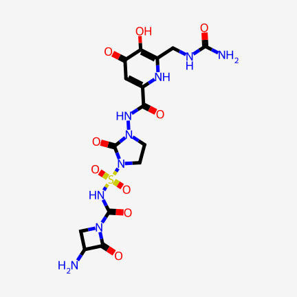 NC(=O)NCc1[nH]c(C(=O)NN2CCN(S(=O)(=O)NC(=O)N3CC(N)C3=O)C2=O)cc(=O)c1O